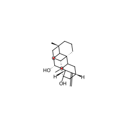 C=C1[C@H]2CC[C@]3(C(C2)[C@@]24CCC[C@@](C)(CO[C@H]2OC)C4C[C@H]3O)[C@H]1O